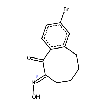 O=C1/C(=N/O)CCCCc2cc(Br)ccc21